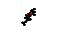 c1ccc(N2c3ccccc3B3c4cc(-c5ccc(-n6c7ccccc7c7ccccc76)cc5)ccc4N(c4ccccc4)c4cc(-c5cccc6c5c5ccccc5n6-c5ccc(-c6cccc7c6B6c8ccccc8N(c8ccccc8)c8cccc(c86)N7c6ccccc6)cc5)cc2c43)cc1